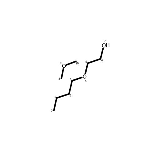 CCCCOCCO.COC